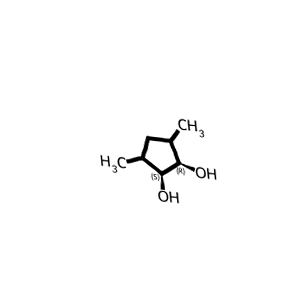 CC1CC(C)[C@H](O)[C@@H]1O